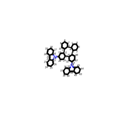 c1ccc2c(c1)-c1ccccc1-c1cc(-n3c4ccccc4c4ccccc43)ccc1-c1cc(-n3c4ccccc4c4ccccc43)ccc1-2